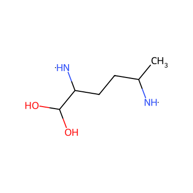 CC([NH])CCC([NH])C(O)O